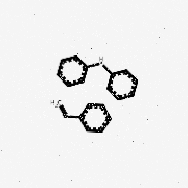 C=Cc1ccccc1.c1ccc(Pc2ccccc2)cc1